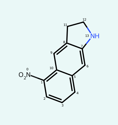 O=[N+]([O-])c1cccc2cc3c(cc12)CCN3